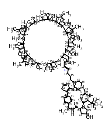 CC[C@@H]1NC(=O)[C@H]([C@H](O)[C@H](C)C/C=C/CCCN2CCN(CC(=O)N[C@H](C(=O)N3C[C@H](O)C[C@H]3C(=O)N[C@@H](C)c3ccc(-c4scnc4C)cc3)C(C)(C)C)CC2)N(C)C(=O)[C@H](C(C)C)N(C)C(=O)[C@H](CC(C)C)N(C)C(=O)[C@H](CC(C)C)N(C)C(=O)[C@@H](C)NC(=O)[C@H](C)NC(=O)[C@H](CC(C)C)N(C)C(=O)[C@H](C(C)C)NC(=O)[C@H](CC(C)C)N(C)C(=O)CN(C)C1=O